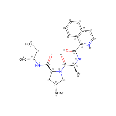 CC(=O)N[C@@H]1C[C@@H](C(=O)N[C@H](C=O)CC(=O)O)N(C(=O)[C@@H](NC(=O)c2nccc3ccccc23)C(C)C)C1